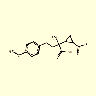 COc1ccc(CCC(N)(C(=O)O)C2CC2C(=O)O)cc1